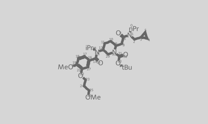 CCCN(CC1CC1)C(=O)CC1CCC(N(C(=O)c2ccc(OC)c(OCCCOC)c2)C(C)C)CN1C(=O)OC(C)(C)C